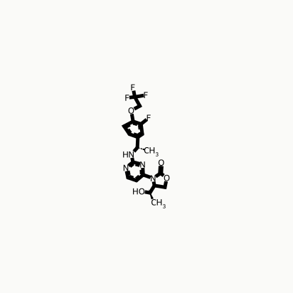 C[C@H](Nc1nccc(N2C(=O)OCC2[C@@H](C)O)n1)c1ccc(OCC(F)(F)F)c(F)c1